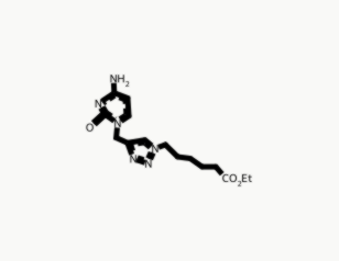 CCOC(=O)CCCCCn1cc(Cn2ccc(N)nc2=O)nn1